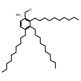 CCCCCCCCCCc1ccc(CCl)c(CCCCCCCCCC)c1CCCCCCCCCC.N